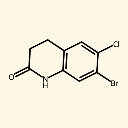 O=C1CCc2cc(Cl)c(Br)cc2N1